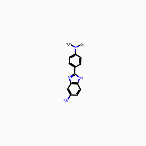 CN(C)c1ccc(-c2nc3cc(N)ccc3[nH]2)cc1